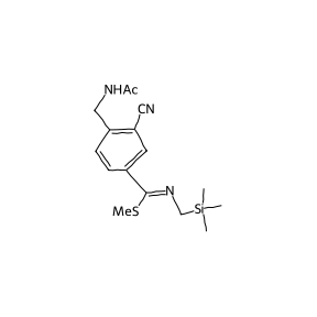 CSC(=NC[Si](C)(C)C)c1ccc(CNC(C)=O)c(C#N)c1